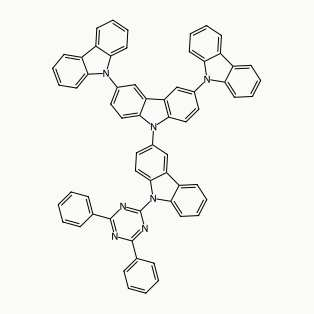 c1ccc(-c2nc(-c3ccccc3)nc(-n3c4ccccc4c4cc(-n5c6ccc(-n7c8ccccc8c8ccccc87)cc6c6cc(-n7c8ccccc8c8ccccc87)ccc65)ccc43)n2)cc1